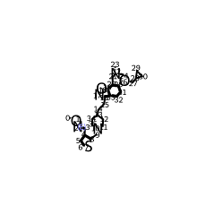 CO/N=C/c1ccsc1CN1CCC(CCc2noc3c(CN(C)C)c(OCC4CC4)ccc23)CC1